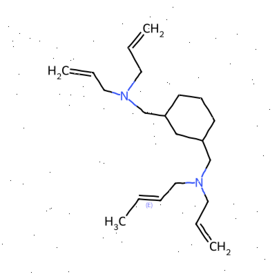 C=CCN(CC=C)CC1CCCC(CN(CC=C)C/C=C/C)C1